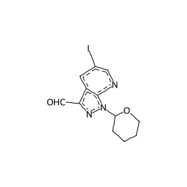 O=Cc1nn(C2CCCCO2)c2ncc(I)cc12